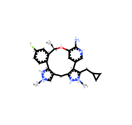 C[C@H]1Oc2cc(cnc2N)-c2c(nn(C)c2CC2CC2)Cc2cn(C)nc2-c2ccc(F)cc21